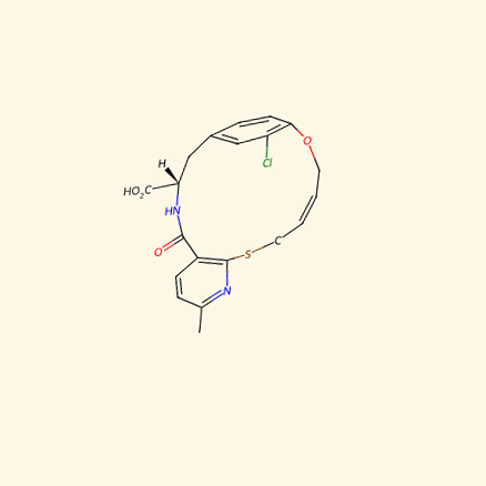 Cc1ccc2c(n1)SCC=CCOc1ccc(cc1Cl)C[C@@H](C(=O)O)NC2=O